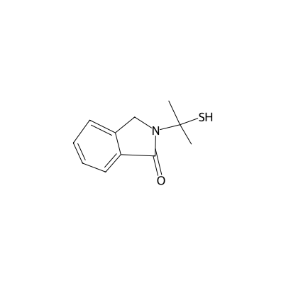 CC(C)(S)N1Cc2ccccc2C1=O